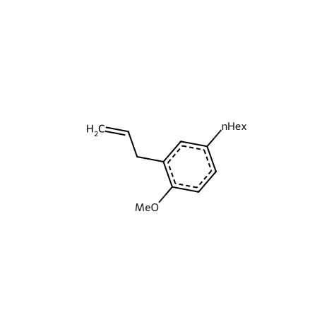 C=CCc1cc(CCCCCC)ccc1OC